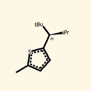 Cc1ccc([C@H](C(C)C)C(C)(C)C)s1